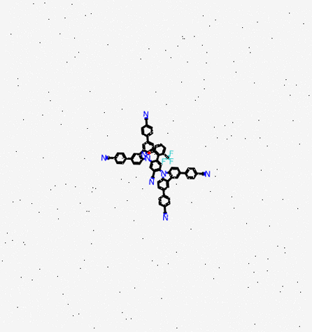 N#Cc1ccc(-c2ccc3c(c2)c2cc(-c4ccc(C#N)cc4)ccc2n3-c2cc(-c3c(C#N)cccc3C(F)(F)F)c(-n3c4ccc(-c5ccc(C#N)cc5)cc4c4cc(-c5ccc(C#N)cc5)ccc43)cc2C#N)cc1